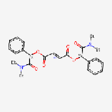 CCN(CC)C(=O)[C@H](OC(=O)/C=C/C(=O)O[C@@H](C(=O)N(CC)CC)c1ccccc1)c1ccccc1